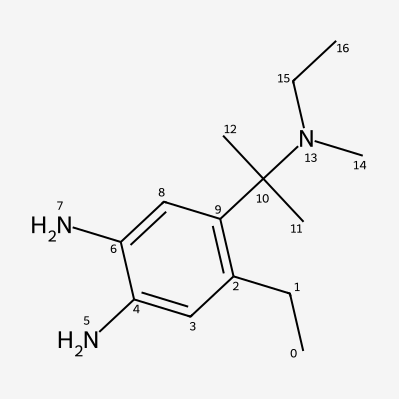 CCc1cc(N)c(N)cc1C(C)(C)N(C)CC